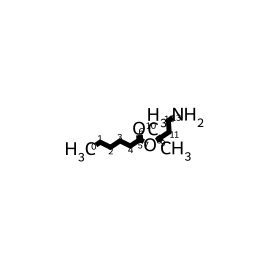 CCCCCC(=O)OC(C)(C)CCN